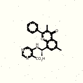 Cc1cc([C@@H](C)Nc2cncnc2C(=O)O)c2oc(-c3ccccc3)c(C)c(=O)c2c1